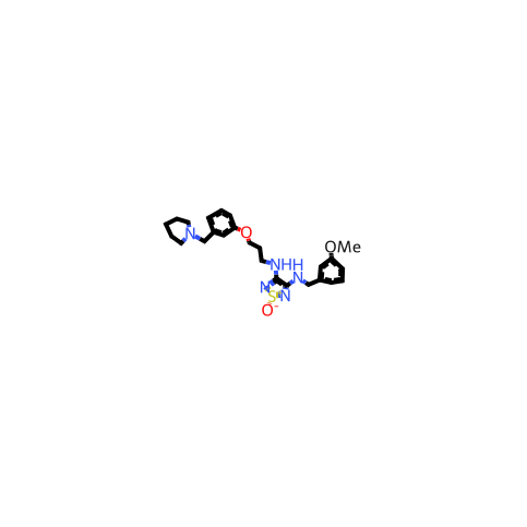 COc1cccc(CNc2n[s+]([O-])nc2NCCCOc2cccc(CN3CCCCC3)c2)c1